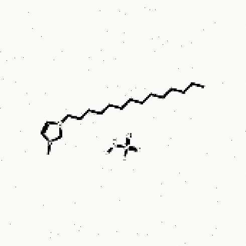 CCCCCCCCCCCCCCN1C=CN(C)C1.O=S(=O)(F)NF